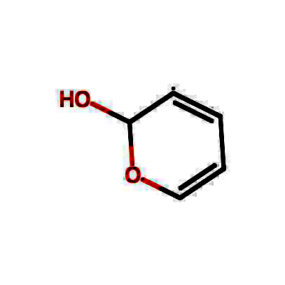 OC1[C]=CC=CO1